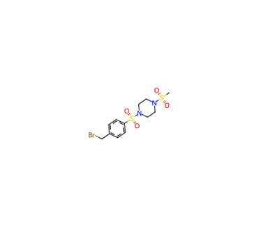 CS(=O)(=O)N1CCN(S(=O)(=O)c2ccc(CBr)cc2)CC1